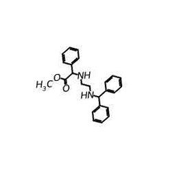 COC(=O)C(NCCNC(c1ccccc1)c1ccccc1)c1ccccc1